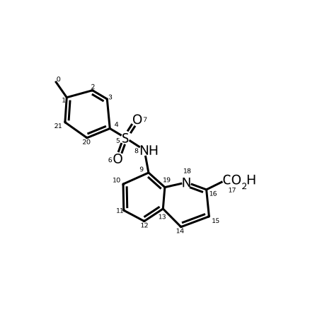 Cc1ccc(S(=O)(=O)Nc2cccc3ccc(C(=O)O)nc23)cc1